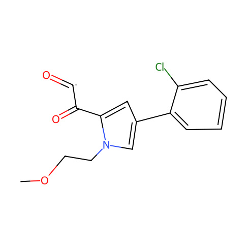 COCCn1cc(-c2ccccc2Cl)cc1C(=O)[C]=O